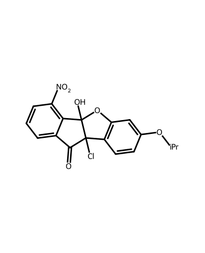 CC(C)Oc1ccc2c(c1)OC1(O)c3c(cccc3[N+](=O)[O-])C(=O)C21Cl